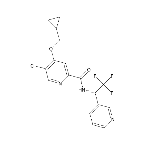 O=C(N[C@@H](c1cccnc1)C(F)(F)F)c1cc(OCC2CC2)c(Cl)cn1